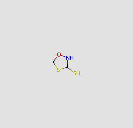 SC1NOCS1